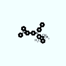 CC1(C)C2=CC(N(c3ccc(-c4ccccc4)cc3)c3ccc(-c4ccc5c(c4)c4ccccc4n5-c4ccccc4)cc3)=CCC2(C)c2ccccc21